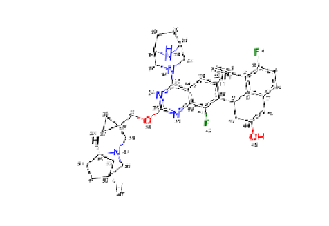 C#Cc1c(F)ccc2c1C(c1c(C(C)C)cc3c(N4CC5CCC(C4)N5)nc(OCC4(CN5C[C@H]6CC[C@@H]5C6)CC4)nc3c1F)CC(O)=C2